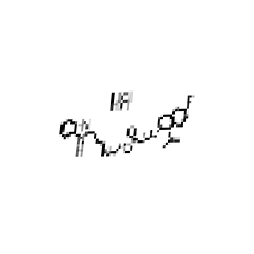 CC(C)[C@@H]1c2ccc(F)cc2CC[C@@H]1COCC(=O)OCCN(C)CCCc1nc2ccccc2[nH]1.Cl.Cl